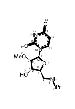 CO[C@H]1[C@@H](O)[C@H](CNC(C)C)O[C@@H]1n1ccc(=O)[nH]c1=O